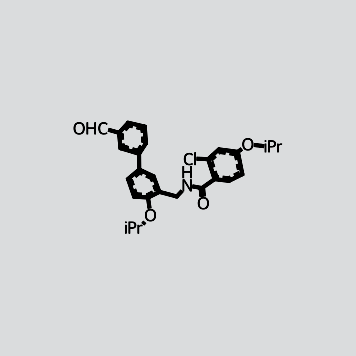 CC(C)Oc1ccc(C(=O)NCc2cc(-c3cccc(C=O)c3)ccc2OC(C)C)c(Cl)c1